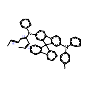 C\C=C/C(=C\C=C\C)N(c1ccccc1)c1ccc2c(c1)C1(c3ccccc3-c3ccccc31)c1cc(N(c3ccccc3)c3ccc(C)cc3)ccc1-2